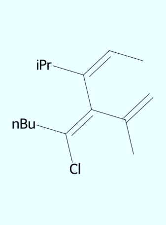 C=C(C)C(/C(=C\C)C(C)C)=C(\Cl)CCCC